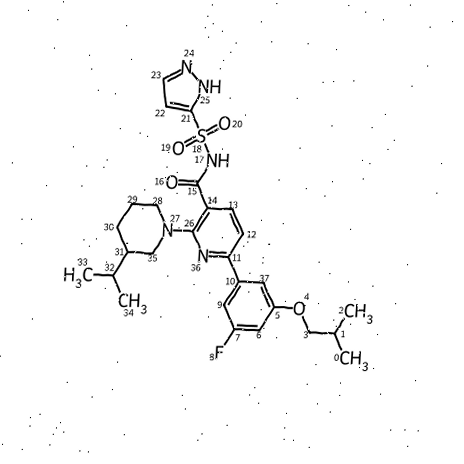 CC(C)COc1cc(F)cc(-c2ccc(C(=O)NS(=O)(=O)c3ccn[nH]3)c(N3CCCC(C(C)C)C3)n2)c1